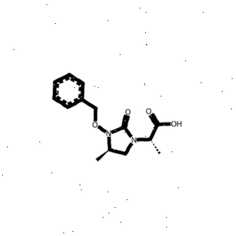 C[C@@H]1CN([C@@H](C)C(=O)O)C(=O)N1OCc1ccccc1